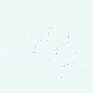 CC(C)(C)OC(=O)N(CCO)Cc1cc(F)cc(Br)c1O